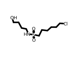 O=S(=O)(CCCCCCCl)NCCCCO